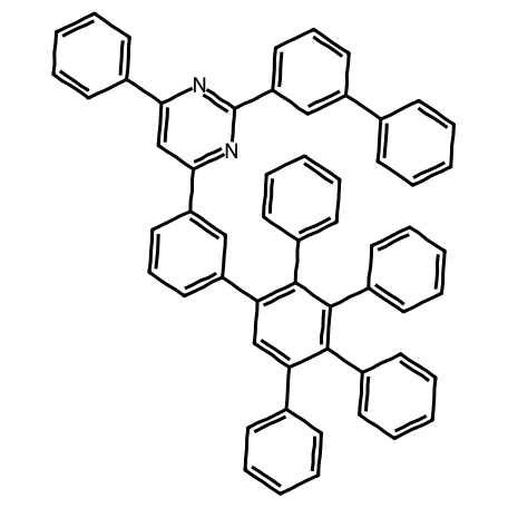 c1ccc(-c2cccc(-c3nc(-c4ccccc4)cc(-c4cccc(-c5cc(-c6ccccc6)c(-c6ccccc6)c(-c6ccccc6)c5-c5ccccc5)c4)n3)c2)cc1